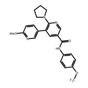 COc1ccc(-c2cc(C(=O)Nc3ccc(OC(F)(F)F)cc3)cnc2N2CCCC2)cn1